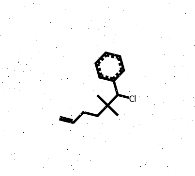 C=CCCC(C)(C)C(Cl)c1ccccc1